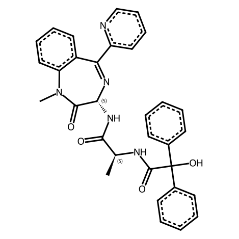 C[C@H](NC(=O)C(O)(c1ccccc1)c1ccccc1)C(=O)N[C@H]1N=C(c2ccccn2)c2ccccc2N(C)C1=O